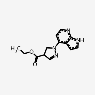 CCOC(=O)C1C=NN(c2ccnc3[nH]ccc23)C1